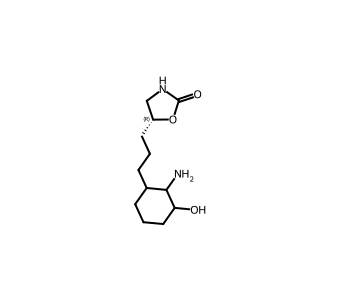 NC1C(O)CCCC1CCC[C@@H]1CNC(=O)O1